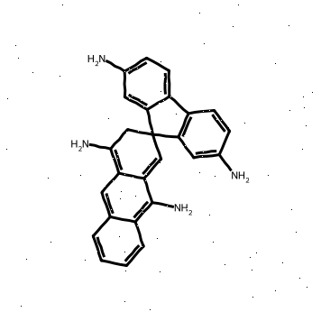 NC1=c2cc3ccccc3c(N)c2=CC2(C1)c1cc(N)ccc1-c1ccc(N)cc12